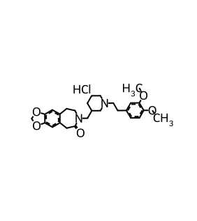 COc1ccc(CCN2CCCC(CN3CCc4cc5c(cc4CC3=O)OCO5)C2)cc1OC.Cl